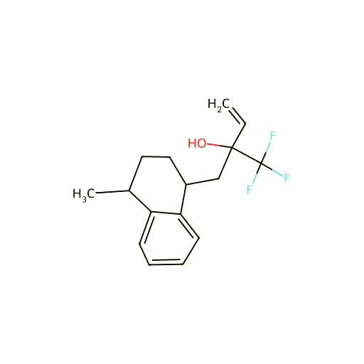 C=CC(O)(CC1CCC(C)c2ccccc21)C(F)(F)F